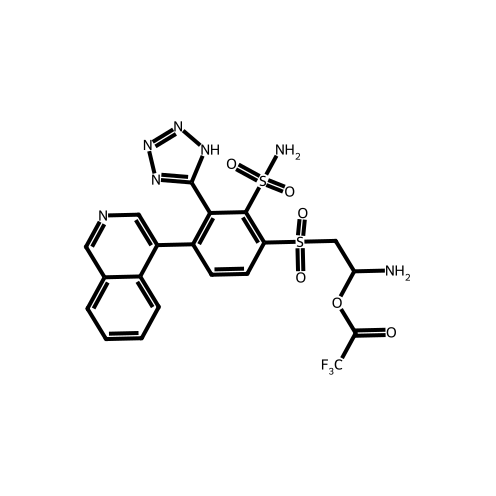 NC(CS(=O)(=O)c1ccc(-c2cncc3ccccc23)c(-c2nnn[nH]2)c1S(N)(=O)=O)OC(=O)C(F)(F)F